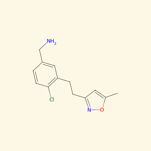 Cc1cc(CCc2cc(CN)ccc2Cl)no1